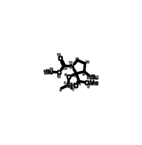 COC(=O)C1(O[SiH](C)C)C(C(C)(C)C)CCN1C(=O)OC(C)(C)C